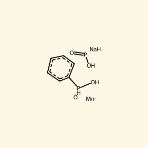 O=PO.O=[PH](O)c1ccccc1.[Mn].[NaH]